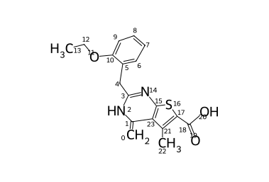 C=C1NC(Cc2ccccc2OCC)=Nc2sc(C(=O)O)c(C)c21